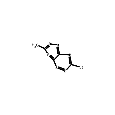 CCc1bbc2bc(C)bbc2b1